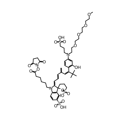 C=C(/C=C(\c1ccc(N(CCCS(=O)(=O)O)CCOCCOCCOCCOC)cc1O)C(C)(C)C)/C=C/C=C1/N(CCCCCC(=O)ON2C(=O)CCC2=O)c2ccc(S(=O)(=O)O)cc2C1(C)CCCS(=O)(=O)O